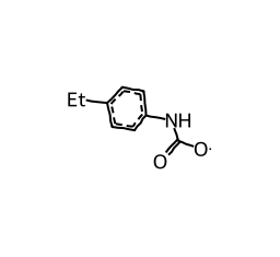 CCc1ccc(NC([O])=O)cc1